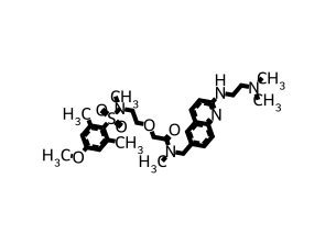 COc1cc(C)c(S(=O)(=O)N(C)CCOCC(=O)N(C)Cc2ccc3nc(NCCN(C)C)ccc3c2)c(C)c1